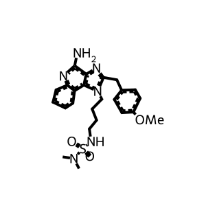 COc1ccc(Cc2nc3c(N)nc4ccccc4c3n2CCCCNS(=O)(=O)N(C)C)cc1